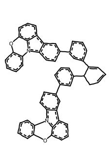 C1=CCC(c2cccc(-c3ccc4c(c3)c3cccc5c3n4-c3ccccc3O5)c2)C(c2cccc(-c3ccc4c(c3)c3cccc5c3n4-c3ccccc3O5)c2)=C1